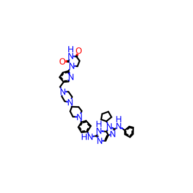 O=C1CCN(c2ccc(CN3CCN(C4CCN(c5ccc(NC6=NC=C7N=C(Nc8ccccc8)N(C8CCCC8)C7N6)cc5)CC4)CC3)cn2)C(=O)N1